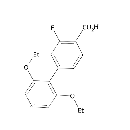 CCOc1c[c]cc(OCC)c1-c1ccc(C(=O)O)c(F)c1